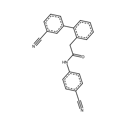 N#Cc1ccc(NC(=O)Cc2ccccc2-c2cccc(C#N)c2)cc1